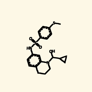 CSc1ccc(S(=O)(=O)Nc2ccc3c(c2)N(C(O)C2CC2)CCC3)cc1